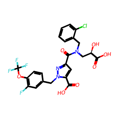 O=C(O)c1cc(C(=O)N(Cc2ccccc2Cl)C[C@@H](O)C(=O)O)nn1Cc1ccc(OC(F)(F)F)c(F)c1